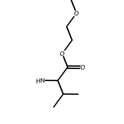 COCCOC(=O)C([NH])C(C)C